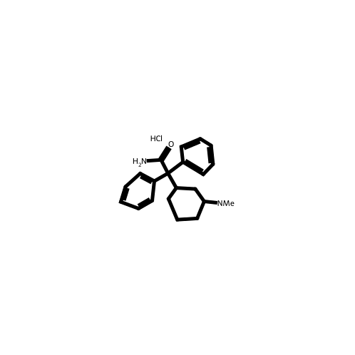 CNC1CCCC(C(C(N)=O)(c2ccccc2)c2ccccc2)C1.Cl